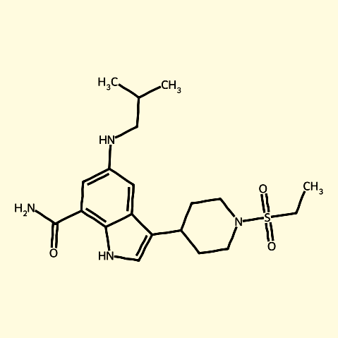 CCS(=O)(=O)N1CCC(c2c[nH]c3c(C(N)=O)cc(NCC(C)C)cc23)CC1